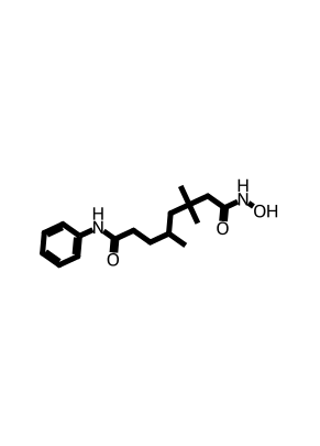 CC(CCC(=O)Nc1ccccc1)CC(C)(C)CC(=O)NO